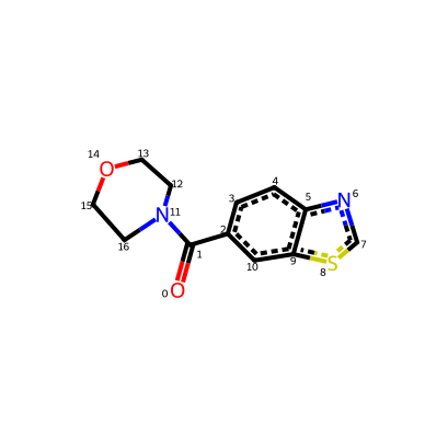 O=C(c1ccc2ncsc2c1)N1CCOCC1